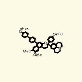 CCCCCCOc1ccc(-c2ccc(-c3cc4c(c5cc(OC)c(OC)cc35)C=CC(c3ccc(OCCCC)cc3)(c3cc5c6c(c3)CCCN6CCC5)O4)cc2)cc1